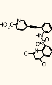 O=C(O)c1ccc(C#Cc2ccccc2NS(=O)(=O)c2cccc3c(Cl)cc(Cl)nc23)cn1